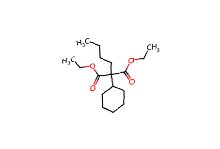 CCCCC(C(=O)OCC)(C(=O)OCC)C1CCCCC1